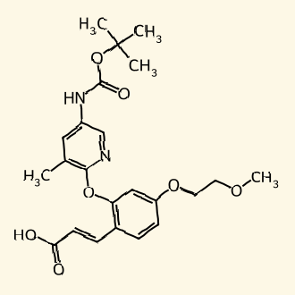 COCCOc1ccc(C=CC(=O)O)c(Oc2ncc(NC(=O)OC(C)(C)C)cc2C)c1